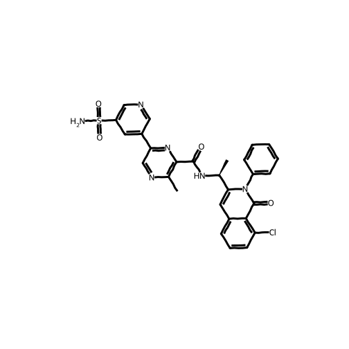 Cc1ncc(-c2cncc(S(N)(=O)=O)c2)nc1C(=O)N[C@@H](C)c1cc2cccc(Cl)c2c(=O)n1-c1ccccc1